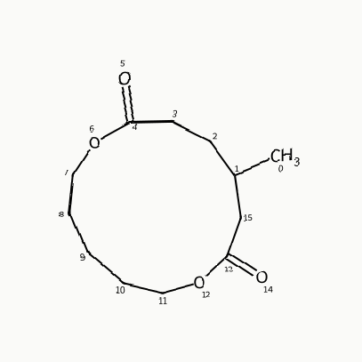 CC1CCC(=O)OCCCCCOC(=O)C1